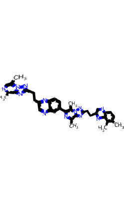 Cc1ccc2ncc(CCc3nc4c(C)nc(-c5ccc6nc(CCc7nc8c(C)ncc(C)n8n7)cnc6c5)c(C)n4n3)nc2c1C